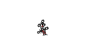 Cc1cc(C)cc(-c2ccc3c(c2)c2ccccc2n3-c2ccc(-c3ccccc3-n3c4ccccc4c4ccccc43)cc2-c2nc(-c3ccccc3)nc(-c3ccccc3)n2)c1